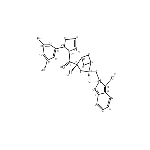 O=C([C@H]1C[C@@H](Cn2nc3ccccc3c2Cl)C2CC1C2)N1N=CCC1c1cc(F)cc(F)c1